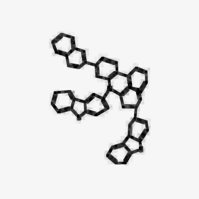 c1ccc(-c2ccc(-c3ccc4ccccc4c3)cc2N(c2cccc(-c3ccc4sc5ccccc5c4c3)c2)c2ccc3sc4ccccc4c3c2)cc1